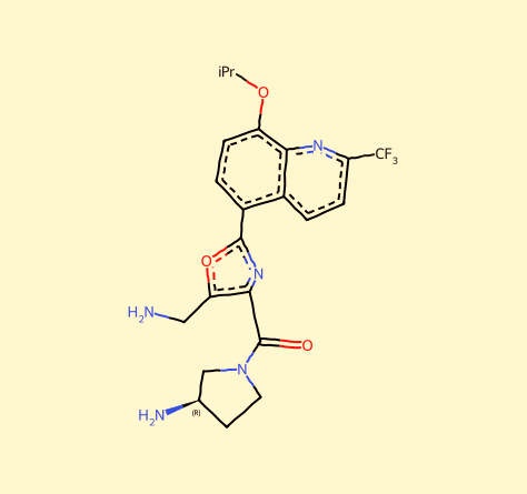 CC(C)Oc1ccc(-c2nc(C(=O)N3CC[C@@H](N)C3)c(CN)o2)c2ccc(C(F)(F)F)nc12